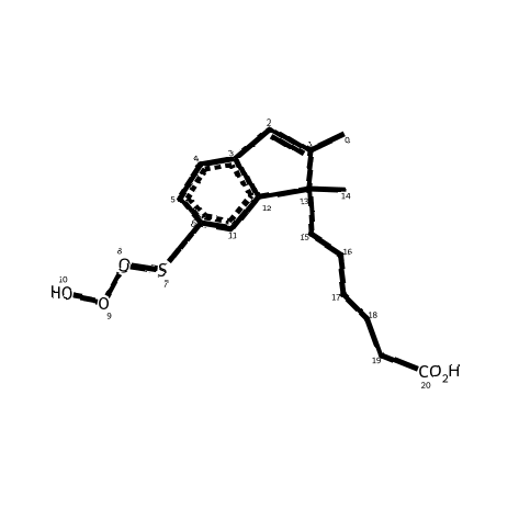 CC1=Cc2ccc(SOOO)cc2C1(C)CCCCCC(=O)O